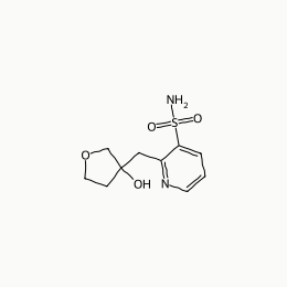 NS(=O)(=O)c1cccnc1CC1(O)CCOC1